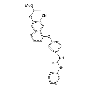 COC(C)Oc1cc2nccc(Oc3ccc(NC(=O)Nc4cccnc4)cc3)c2cc1C#N